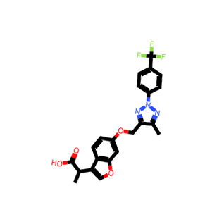 Cc1nn(-c2ccc(C(F)(F)F)cc2)nc1COc1ccc2c(C(C)C(=O)O)coc2c1